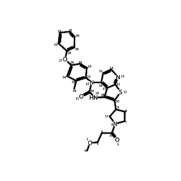 COCCC(=O)N1CCC(c2sc3nccc4c3c2NC(=O)N4c2ccc(Oc3ccccc3)cc2C)C1